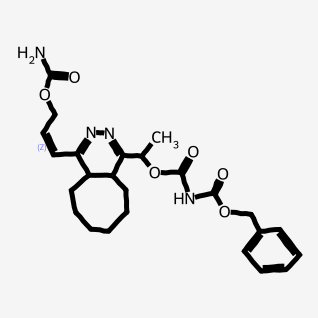 CC(OC(=O)NC(=O)OCc1ccccc1)C1=NN=C(/C=C\COC(N)=O)C2CCCCCCC12